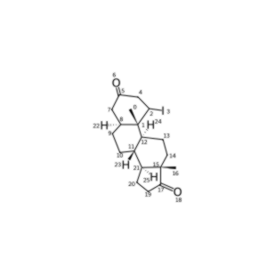 C[C@]12C(I)CC(=O)C[C@@H]1CC[C@@H]1[C@@H]2CC[C@]2(C)C(=O)CC[C@@H]12